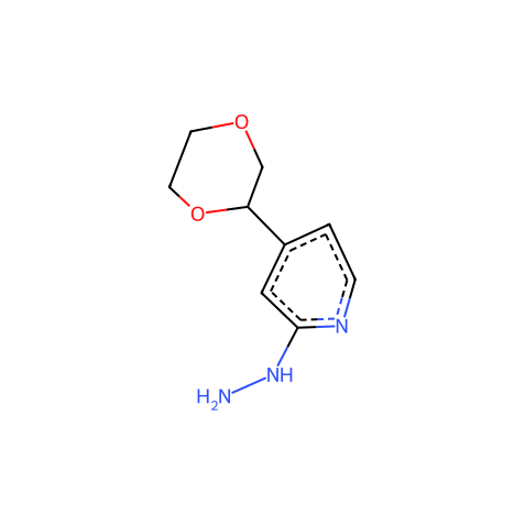 NNc1cc(C2COCCO2)ccn1